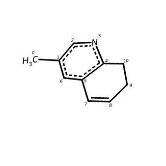 Cc1cnc2c(c1)C=CCC2